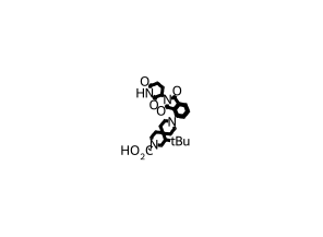 CC(C)(C)C1CN(C(=O)O)CCC12CCN(c1cccc3c1C(=O)N(C1CCC(=O)NC1=O)C3=O)CC2